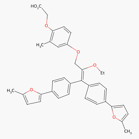 CCOC(COc1ccc(OCC(=O)O)c(C)c1)=C(c1ccc(-c2ccc(C)o2)cc1)c1ccc(-c2ccc(C)o2)cc1